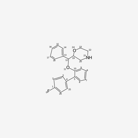 Fc1ccc(-c2ccccc2OC(c2ccccc2)C2CNCCO2)cc1